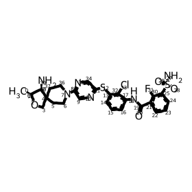 C[C@@H]1OCC2(CCN(c3cnc(Sc4cccc(NC(=O)c5cccc(S(N)(=O)=O)c5F)c4Cl)cn3)CC2)[C@@H]1N